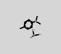 Cc1ccc(N(C)C)cc1.FB(F)F